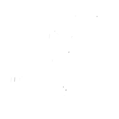 COc1cc(C2(O)CCC2)ccn1